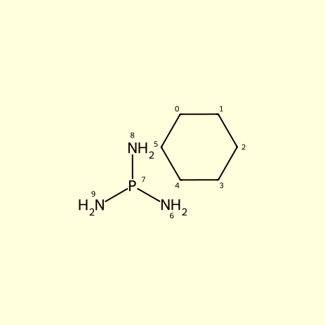 C1CCCCC1.NP(N)N